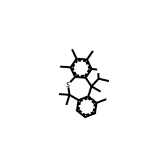 Cc1cccc2c1C(C)(C(C)C)c1c(C)c(C)c(C)c(C)c1SC2(C)C